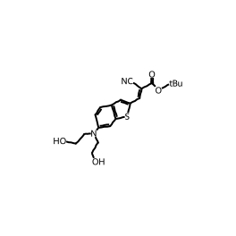 CC(C)(C)OC(=O)/C(C#N)=C/c1cc2ccc(N(CCO)CCO)cc2s1